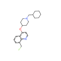 FCc1cccc2c(OC3CCN(CC4CCCCC4)CC3)ccnc12